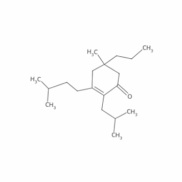 CCCC1(C)CC(=O)C(CC(C)C)=C(CCC(C)C)C1